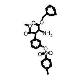 COC(=O)C(c1cccc(OS(=O)(=O)c2ccc(C)cc2)c1)C(N)C(=O)OCc1ccccc1